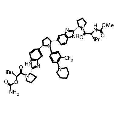 CCC(C)[C@H](OC(N)=O)C(=O)N1CCC[C@H]1c1nc2cc([C@H]3CC[C@H](c4ccc5[nH]c([C@@H]6CCCN6C(=O)[C@@H](NC(=O)OC)C(C)C)nc5c4)N3c3ccc(N4CCCCC4)c(C(F)(F)F)c3)ccc2[nH]1